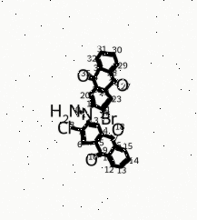 NN(c1cc2c(cc1Cl)C(=O)c1ccccc1C2=O)c1cc2c(cc1Br)C(=O)c1ccccc1C2=O